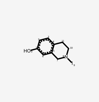 Oc1ccc2c(c1)CN(I)CC2